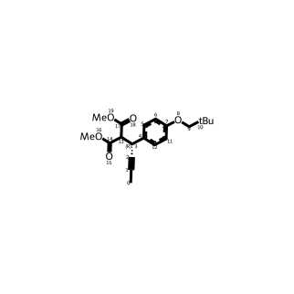 CC#C[C@@H](c1ccc(OCC(C)(C)C)cc1)C(C(=O)OC)C(=O)OC